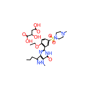 CCCc1nn(C)c2c(=O)[nH]c(-c3cc(S(=O)(=O)N4CCN(C)CC4)ccc3OCC)nc12.O=C(O)CC(O)C(=O)O